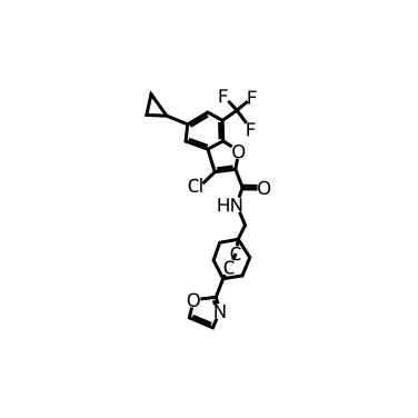 O=C(NCC12CCC(c3ncco3)(CC1)CC2)c1oc2c(C(F)(F)F)cc(C3CC3)cc2c1Cl